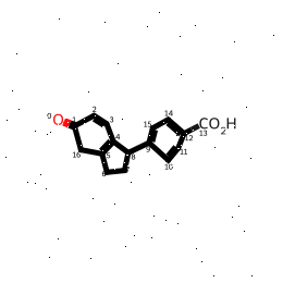 O=C1C=CC2=C(CCC2c2ccc(C(=O)O)cc2)C1